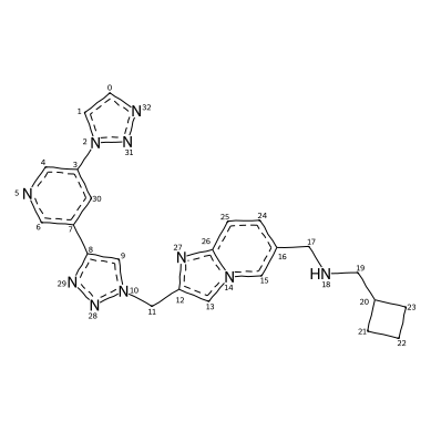 c1cn(-c2cncc(-c3cn(Cc4cn5cc(CNCC6CCC6)ccc5n4)nn3)c2)nn1